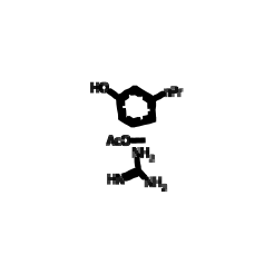 CCCc1cccc(O)c1.COC(C)=O.N=C(N)N